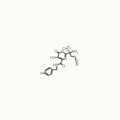 Cn1c(C(C)(N)CN=[N+]=[N-])nc(C(=O)NCc2ccc(F)cc2)c(O)c1=O